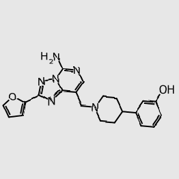 Nc1ncc(CN2CCC(c3cccc(O)c3)CC2)c2nc(-c3ccco3)nn12